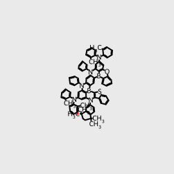 Cc1ccccc1N(c1cc2c3c(c1)N(c1ccccc1)c1cc4c(cc1B3c1ccccc1O2)B1c2sc3ccccc3c2N(c2ccc3c(c2)C(C)(C)CCC3(C)C)c2cc(N(c3ccccc3C)c3ccccc3C)cc(c21)N4c1ccccc1)c1ccccc1C